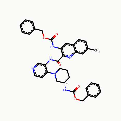 Cc1ccc2cc(NC(=O)OCc3ccccc3)c(C(=O)Nc3cnccc3N3CCC[C@H](NC(=O)OCc4ccccc4)C3)nc2c1